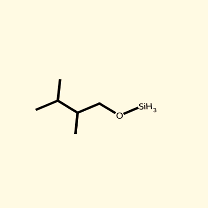 CC(C)C(C)CO[SiH3]